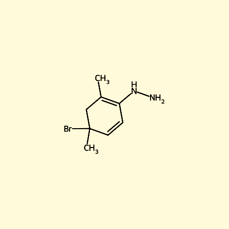 CC1=C(NN)C=CC(C)(Br)C1